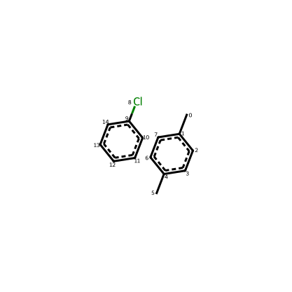 Cc1ccc(C)cc1.Clc1ccccc1